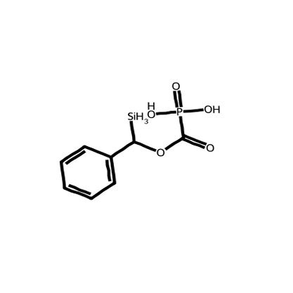 O=C(OC([SiH3])c1ccccc1)P(=O)(O)O